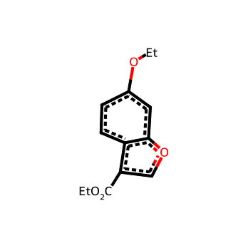 CCOC(=O)c1coc2cc(OCC)ccc12